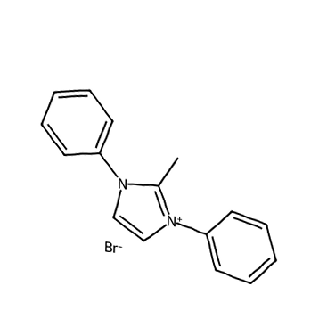 Cc1n(-c2ccccc2)cc[n+]1-c1ccccc1.[Br-]